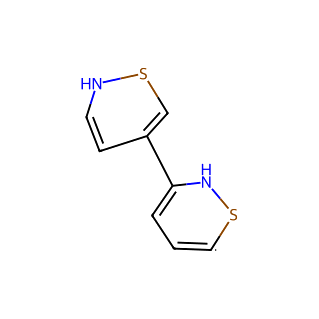 [C]1=CC=C(C2=CSNC=C2)NS1